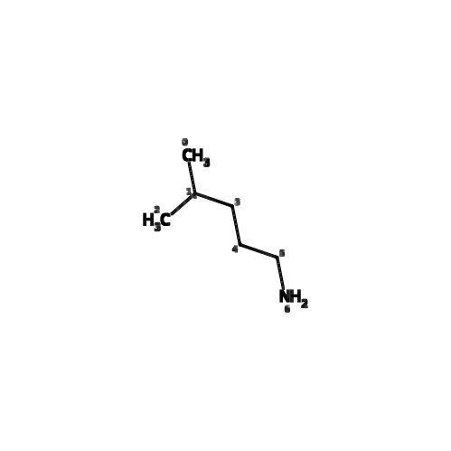 C[C](C)CCCN